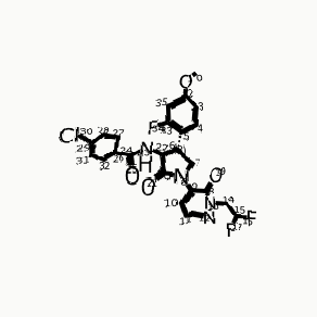 COc1ccc([C@@H]2CN(c3ccnn(CC(F)F)c3=O)C(=O)C2NC(=O)c2ccc(Cl)cc2)c(F)c1